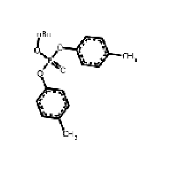 CCCCOP(=O)(Oc1ccc(C)cc1)Oc1ccc(C)cc1